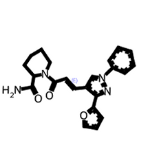 NC(=O)C1CCCCN1C(=O)/C=C/c1cn(-c2ccccc2)nc1-c1ccco1